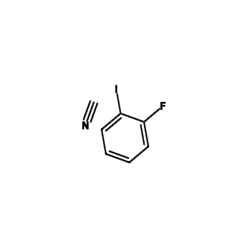 C#N.Fc1ccccc1I